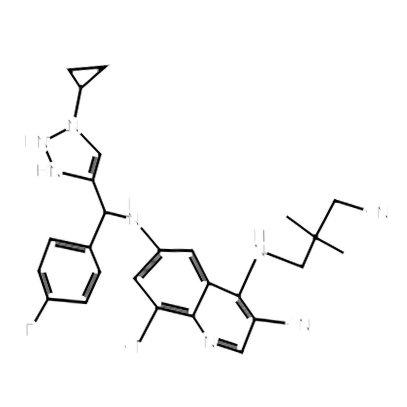 CC(C)(CC#N)CNc1c(C#N)cnc2c(Cl)cc(NC(C3=CN(C4CC4)NN3)c3ccc(F)cc3)cc12